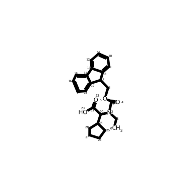 CCN(C(=O)OCC1c2ccccc2-c2ccccc21)C(C(=O)O)C1CCCC1